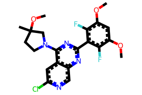 COc1cc(OC)c(F)c(-c2nc(N3CCC(C)(OC)C3)c3cc(Cl)ncc3n2)c1F